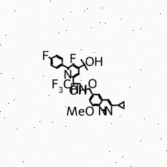 COc1cc(C(=O)NC[C@](O)(c2cc(C(C)(C)O)c(F)c(-c3ccc(F)cc3)n2)C(F)(F)F)cc2cc(C3CC3)nnc12